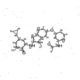 CC(=O)Nc1cc(Oc2cnc3nc(Nc4cc(C5CC5)cn(C)c4=O)n(C)c3c2)ccn1